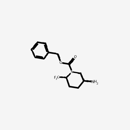 NC1CCC(C(F)(F)F)N(C(=O)OCc2ccccc2)C1